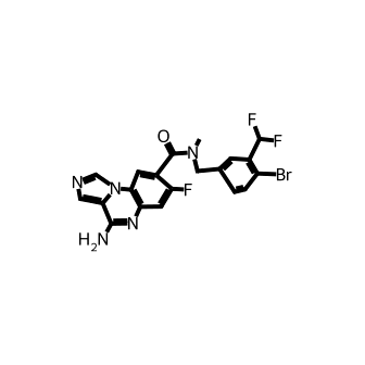 CN(Cc1ccc(Br)c(C(F)F)c1)C(=O)c1cc2c(cc1F)nc(N)c1cncn12